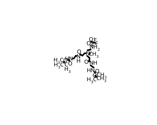 CC(C)(C)OC(=O)NCCNC(=O)CC[N+](C)(CCN)CCC(=O)NCCNC(=O)OC(C)(C)C.O=C([O-])C(F)(F)F